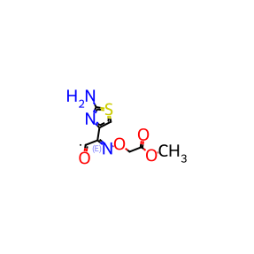 COC(=O)CO/N=C(/[C]=O)c1csc(N)n1